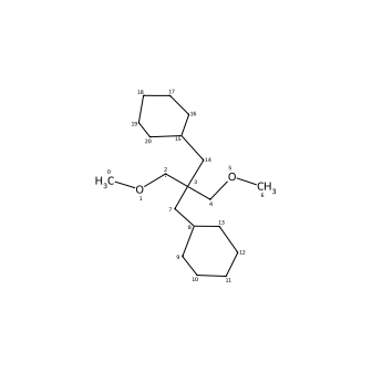 CO[CH]C(COC)(CC1CCCCC1)CC1CCCCC1